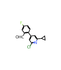 O=Cc1cc(F)ccc1-c1cc(Cl)nc(C2CC2)c1